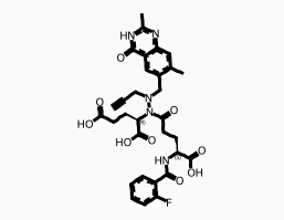 C#CCN(Cc1cc2c(=O)[nH]c(C)nc2cc1C)N(C(=O)CC[C@H](NC(=O)c1ccccc1F)C(=O)O)[C@H](CCC(=O)O)C(=O)O